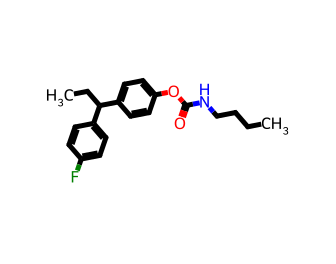 CCCCNC(=O)Oc1ccc([C](CC)c2ccc(F)cc2)cc1